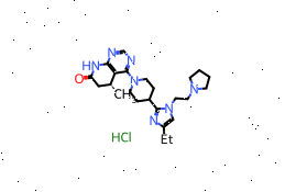 CCc1cn(CCN2CCCC2)c(C2CCN(c3ncnc4c3[C@H](C)CC(=O)N4)CC2)n1.Cl